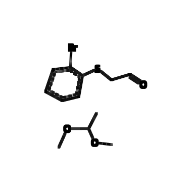 COC(C)OC.O=CCSc1ccccc1Br